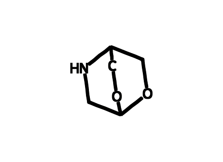 C1OC2CNC1CO2